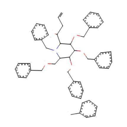 C=CCC(O)C1C(OCc2ccccc2)C(OCc2ccccc2)C(OCc2ccccc2)C(COCc2ccccc2)N1Cc1ccccc1.O=C(O)c1ccccc1